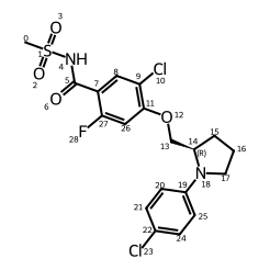 CS(=O)(=O)NC(=O)c1cc(Cl)c(OC[C@H]2CCCN2c2ccc(Cl)cc2)cc1F